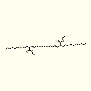 CCCCCCCCCCC(C=NCCCCCCCCN=CC(CCCCCCCCCC)C(=O)OCC)C(=O)OCC